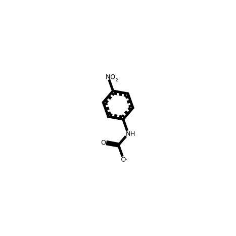 [O]C(=O)Nc1ccc([N+](=O)[O-])cc1